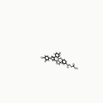 O=C(O)CCNc1ccc(CCN2C(=O)COC2c2cn(-c3ccc(Cl)c(F)c3)nc2-c2ccc(F)cc2)cc1